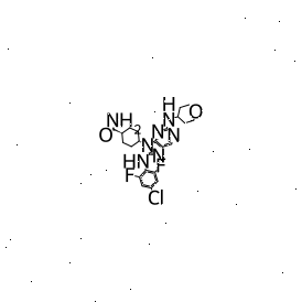 NC(=O)[C@H]1CC[C@H](n2c(Nc3c(F)cc(Cl)cc3F)nc3cnc(NC4CCOCC4)nc32)CC1